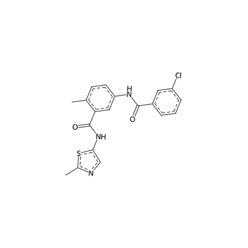 Cc1ncc(NC(=O)c2cc(NC(=O)c3cccc(Cl)c3)ccc2C)s1